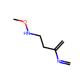 C=NC(=C)CCNOC